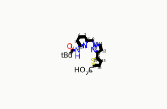 CC(C)(C)C(=O)Nc1cccc(Cn2ccc(-c3ccc(C(=O)O)s3)n2)n1